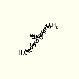 C=CC(=O)OCOc1ccc(C(=O)OC2CCC(C(=O)Oc3ccc(OC(=O)C4CCC(OC(=O)c5ccc(OCOC(=O)C=C)cc5)CC4)c(/C=N/Nc4nc5ccccc5s4)c3)CC2)cc1